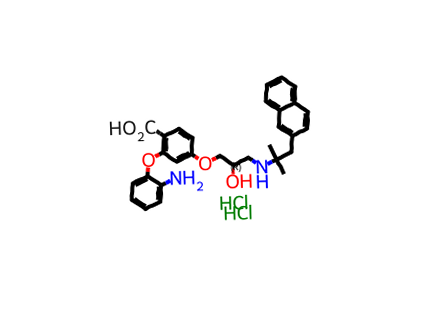 CC(C)(Cc1ccc2ccccc2c1)NC[C@@H](O)COc1ccc(C(=O)O)c(Oc2ccccc2N)c1.Cl.Cl